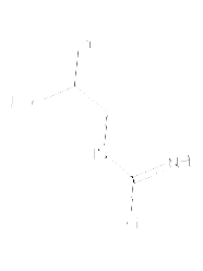 CC(=N)NCC(C)C(C)C